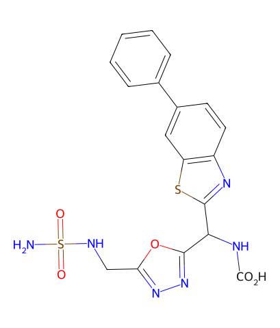 NS(=O)(=O)NCc1nnc(C(NC(=O)O)c2nc3ccc(-c4ccccc4)cc3s2)o1